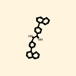 N=C(C(=N)c1ccc(-c2cccc3ccccc23)cc1)c1ccc(-c2cccc3ccccc23)cc1